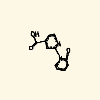 O=C(O)c1ccnc(-n2ccccc2=O)c1